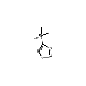 C[Si](C)(C)C1=N[N]C=N1